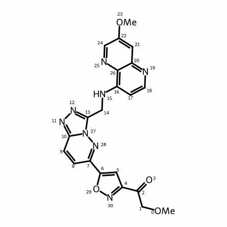 COCC(=O)c1cc(-c2ccc3nnc(CNc4ccnc5cc(OC)cnc45)n3n2)on1